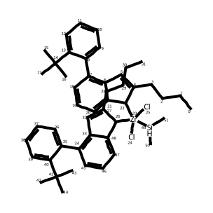 CCCCC1=Cc2c(-c3ccccc3C(C)(C)C)cccc2[CH]1[Zr]([Cl])([Cl])([CH]1C(CCCC)=Cc2c(-c3ccccc3C(C)(C)C)cccc21)[SiH](C)C